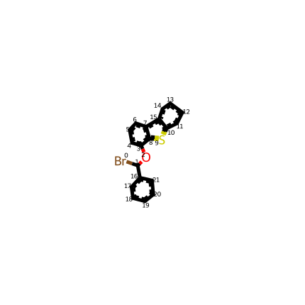 BrC(Oc1cccc2c1sc1ccccc12)c1ccccc1